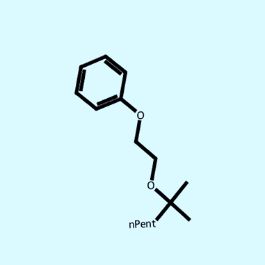 CCCCCC(C)(C)OCCOc1ccccc1